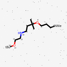 CNCCCOC(C)(C)CCNCCOC(C)(C)C